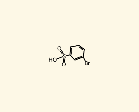 O=S(=O)(O)c1cc[c]c(Br)c1